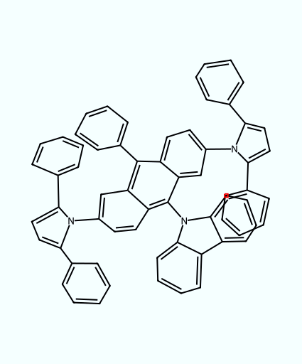 c1ccc(-c2c3cc(-n4c(-c5ccccc5)ccc4-c4ccccc4)ccc3c(-n3c4ccccc4c4ccccc43)c3cc(-n4c(-c5ccccc5)ccc4-c4ccccc4)ccc23)cc1